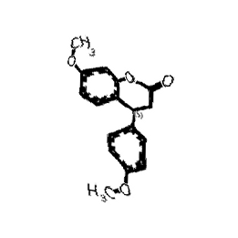 COc1ccc([C@@H]2CC(=O)Oc3cc(OC)ccc32)cc1